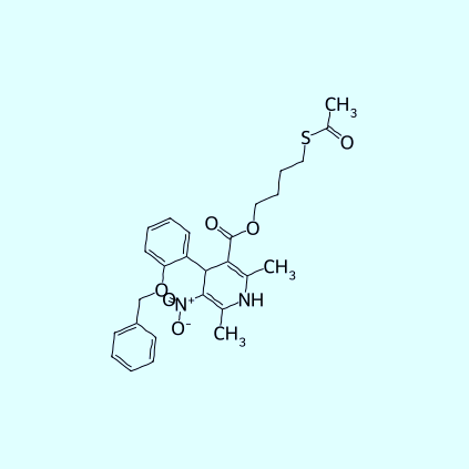 CC(=O)SCCCCOC(=O)C1=C(C)NC(C)=C([N+](=O)[O-])C1c1ccccc1OCc1ccccc1